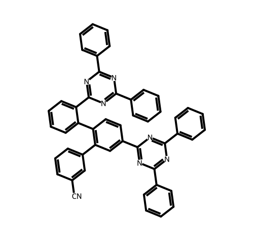 N#Cc1cccc(-c2cc(-c3nc(-c4ccccc4)nc(-c4ccccc4)n3)ccc2-c2ccccc2-c2nc(-c3ccccc3)nc(-c3ccccc3)n2)c1